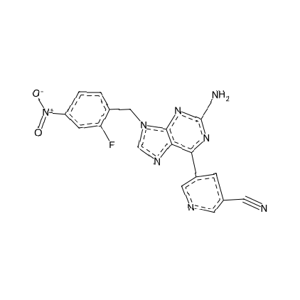 N#Cc1cncc(-c2nc(N)nc3c2ncn3Cc2ccc([N+](=O)[O-])cc2F)c1